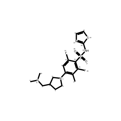 Cc1c(N2CCC(CN(C)C)C2)cc(F)c(S(=O)(=O)Nc2nccs2)c1F